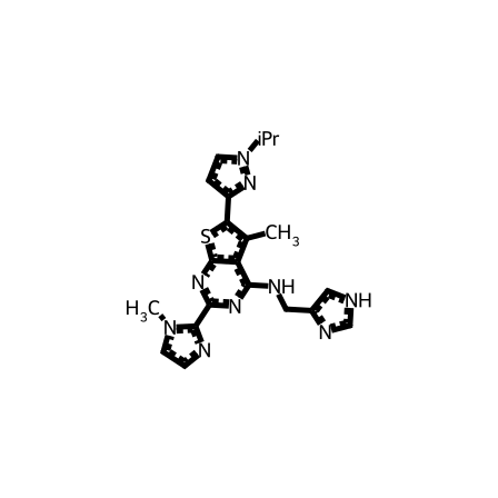 Cc1c(-c2ccn(C(C)C)n2)sc2nc(-c3nccn3C)nc(NCc3c[nH]cn3)c12